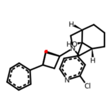 O[C@]1(c2ccnc(Cl)c2)[C@@H]2CCC[C@H]1CN(C13CC(c4ccccc4)(C1)C3)C2